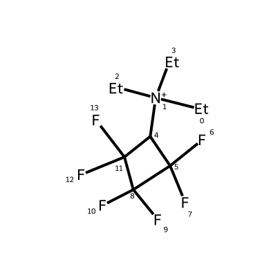 CC[N+](CC)(CC)C1C(F)(F)C(F)(F)C1(F)F